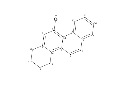 [O]c1cc2c(c3ccc4ccccc4c13)CCCC2